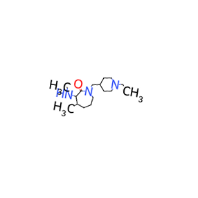 CCN1CCC(CN2CCCC(C)C(NC)C2=O)CC1